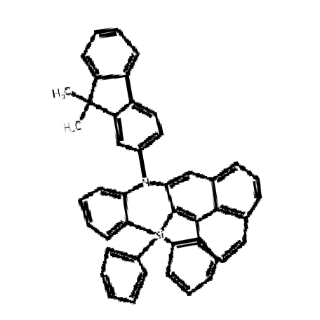 CC1(C)c2ccccc2-c2ccc(N3c4ccccc4[Si](c4ccccc4)(c4ccccc4)c4c3cc3cccc5c3c4CC=C5)cc21